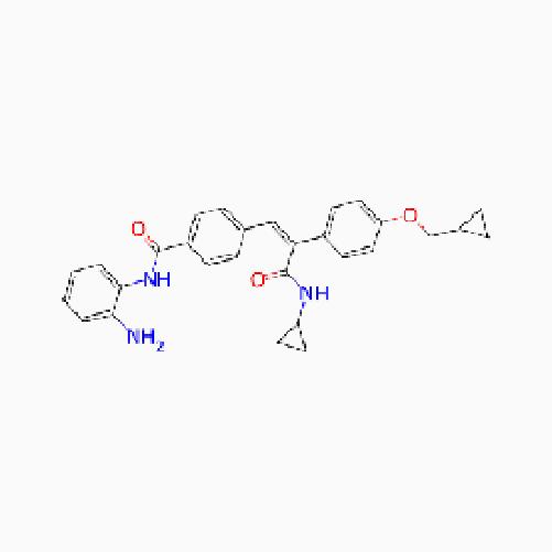 Nc1ccccc1NC(=O)c1ccc(C=C(C(=O)NC2CC2)c2ccc(OCC3CC3)cc2)cc1